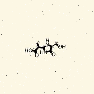 CC(C(=O)O)C1NC(=O)[C@H](CO)N1